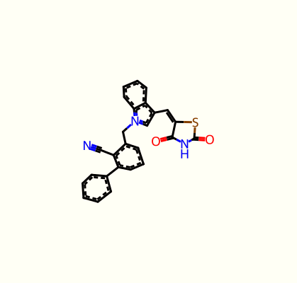 N#Cc1c(Cn2cc(C=C3SC(=O)NC3=O)c3ccccc32)cccc1-c1ccccc1